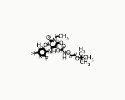 CCn1c(=O)c(OC(=O)NOCCOC(C)(C)C)c(Nc2ccc(I)cc2F)n(C)c1=O